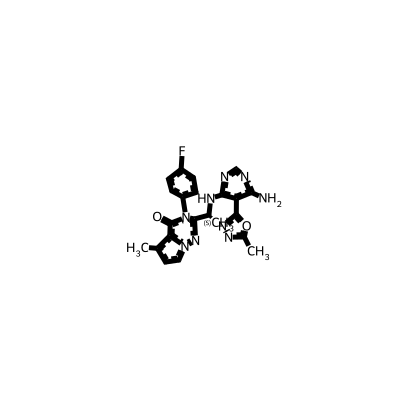 Cc1nnc(-c2c(N)ncnc2N[C@@H](C)c2nn3ccc(C)c3c(=O)n2-c2ccc(F)cc2)o1